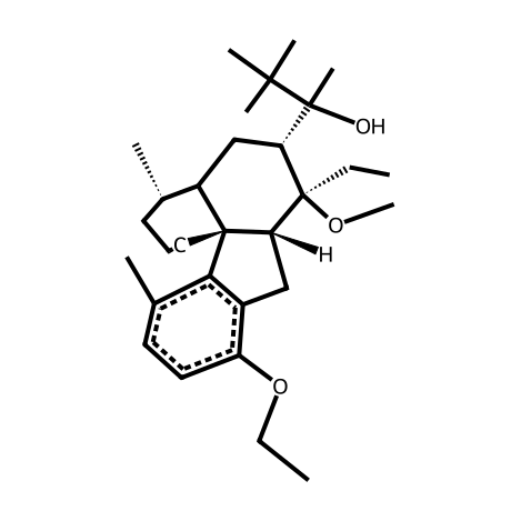 CCOc1ccc(C)c2c1C[C@H]1[C@](CC)(OC)[C@@H](C(C)(O)C(C)(C)C)CC3[C@@H](C)CCC[C@@]231